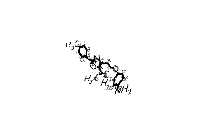 Cc1ccc(-c2nc(CCOc3ccc(N)cc3)c(C(C)C)o2)cc1